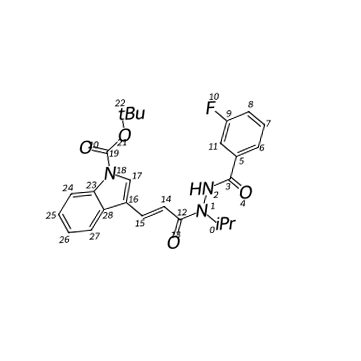 CC(C)N(NC(=O)c1cccc(F)c1)C(=O)/C=C/c1cn(C(=O)OC(C)(C)C)c2ccccc12